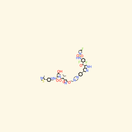 Cc1ncsc1-c1ccc(CNC(=O)[C@@H]2C[C@@H](O)CN2C(=O)[C@@H](c2cc(OCCN3CCN(c4ccc(-c5cnc6[nH]cc(C(=O)c7c(F)ccc(NS(=O)(=O)N8CC[C@@H](F)C8)c7F)c6c5)cc4)CC3)no2)C(C)C)cc1